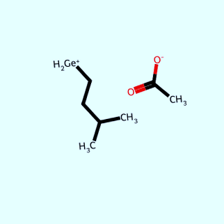 CC(=O)[O-].CC(C)C[CH2][GeH2+]